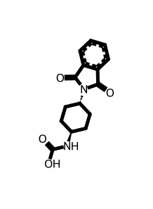 O=C(O)N[C@H]1CC[C@H](N2C(=O)c3ccccc3C2=O)CC1